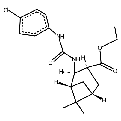 CCOC(=O)[C@H]1C[C@H]2C[C@@H]([C@H]1NC(=O)Nc1ccc(Cl)cc1)C2(C)C